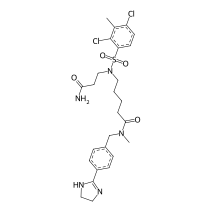 Cc1c(Cl)ccc(S(=O)(=O)N(CCCCC(=O)N(C)Cc2ccc(C3=NCCN3)cc2)CCC(N)=O)c1Cl